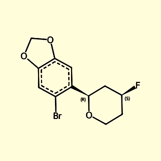 F[C@H]1CCO[C@@H](c2cc3c(cc2Br)OCO3)C1